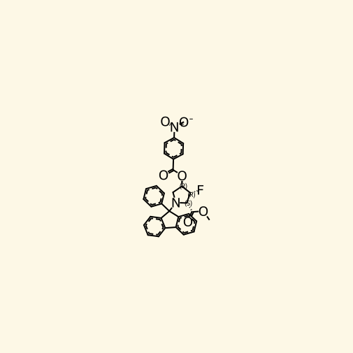 COC(=O)[C@H]1[C@@H](F)[C@H](OC(=O)c2ccc([N+](=O)[O-])cc2)CN1C1(c2ccccc2)c2ccccc2-c2ccccc21